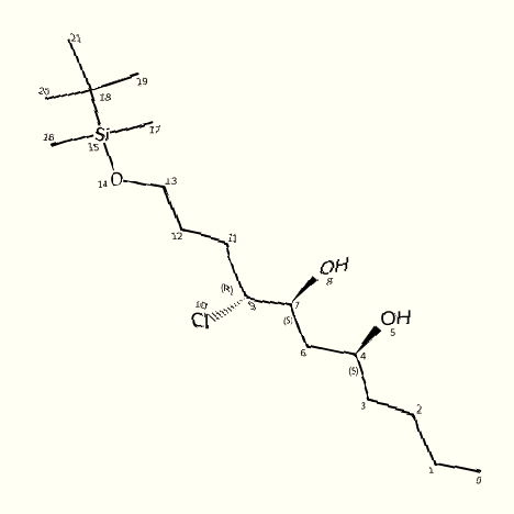 CCCC[C@H](O)C[C@H](O)[C@H](Cl)CCCO[Si](C)(C)C(C)(C)C